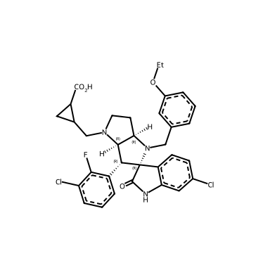 CCOc1cccc(CN2[C@@H]3CCN(CC4CC4C(=O)O)[C@@H]3[C@@H](c3cccc(Cl)c3F)[C@@]23C(=O)Nc2cc(Cl)ccc23)c1